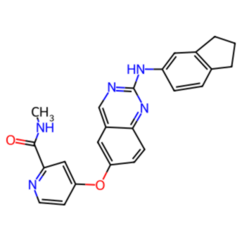 CNC(=O)c1cc(Oc2ccc3nc(Nc4ccc5c(c4)CCC5)ncc3c2)ccn1